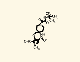 Cn1cc2c(c1C=O)OCC1(CCN(C(=O)C(=O)NC(C)(C)C(F)(F)F)CC1)N[S+]2[O-]